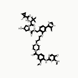 CNc1nc(Nc2ccc(C(=O)N3CCN(CCCOc4cc(-c5scnc5C)ccc4CNC(=O)[C@@H]4C[C@@H](O)CN4C(=O)[C@@H](NC(=O)C4(F)CC4)C(C)(C)C)CC3)cc2OC)ncc1Cl